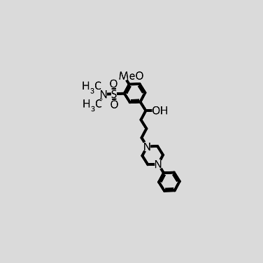 COc1ccc(C(O)CCCN2CCN(c3ccccc3)CC2)cc1S(=O)(=O)N(C)C